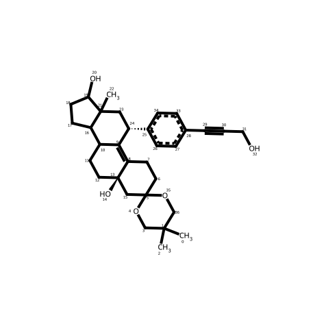 CC1(C)COC2(CCC3=C4C(CC[C@@]3(O)C2)C2CCC(O)C2(C)C[C@@H]4c2ccc(C#CCO)cc2)OC1